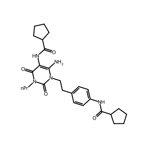 CCCn1c(=O)c(NC(=O)C2CCCC2)c(N)n(CCc2ccc(NC(=O)C3CCCC3)cc2)c1=O